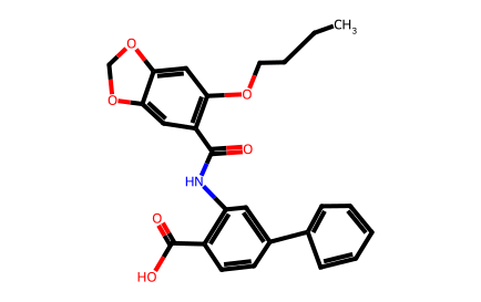 CCCCOc1cc2c(cc1C(=O)Nc1cc(-c3ccccc3)ccc1C(=O)O)OCO2